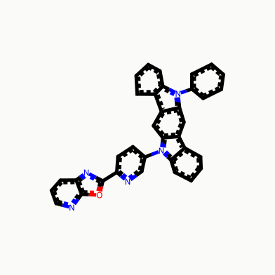 c1ccc(-n2c3ccccc3c3cc4c(cc32)c2ccccc2n4-c2ccc(-c3nc4cccnc4o3)nc2)cc1